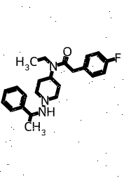 CCN(C(=O)Cc1ccc(F)cc1)C1CCN(NC(C)c2ccccc2)CC1